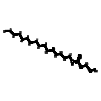 CCCCCCCCCCCCCCCCOC(=O)OCOC